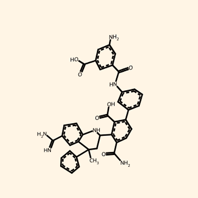 CC1(c2ccccc2)CC(c2c(C(N)=O)ccc(-c3cccc(NC(=O)c4cc(N)cc(C(=O)O)c4)c3)c2C(=O)O)Nc2ccc(C(=N)N)cc21